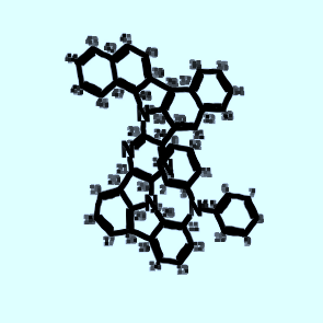 c1ccc(N(c2ccccc2)c2cccc3c4cccc5c6nc7c(nc6n(c23)c45)c2cc3ccccc3c3c4ccc5ccccc5c4n7c23)cc1